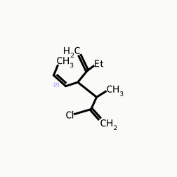 C=C(Cl)C(C)C(/C=C\C)C(=C)CC